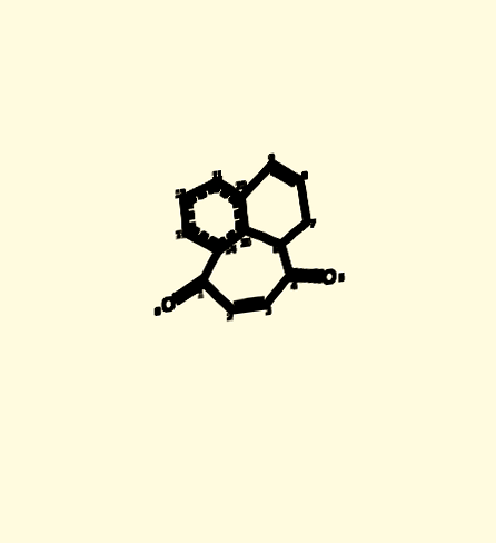 O=C1C=CC(=O)C2CC=Cc3cccc1c32